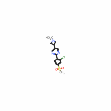 CS(=O)(=O)c1ccc(-c2ncc(C3CN(C(=O)O)C3)cn2)c(Cl)c1